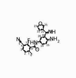 Cc1ccc(C#N)c(F)c1C(=O)Nc1ccc(N)c(C(=N)c2ccoc2)c1